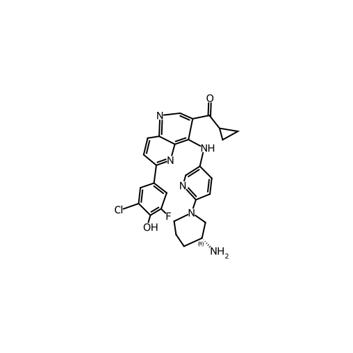 N[C@@H]1CCCN(c2ccc(Nc3c(C(=O)C4CC4)cnc4ccc(-c5cc(F)c(O)c(Cl)c5)nc34)cn2)C1